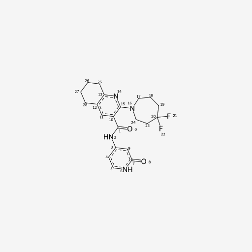 O=C(Nc1cc[nH]c(=O)c1)c1cc2c(nc1N1CCCC(F)(F)CC1)CCCC2